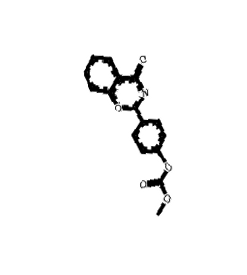 COC(=O)Oc1ccc(-c2nc(=O)c3ccccc3o2)cc1